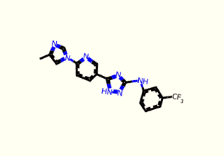 Cc1cn(-c2ccc(-c3nc(Nc4cccc(C(F)(F)F)c4)n[nH]3)cn2)cn1